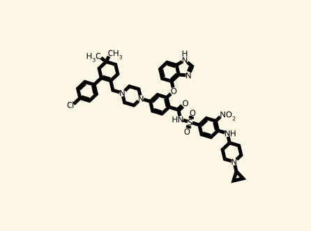 CC1(C)CCC(CN2CCN(c3ccc(C(=O)NS(=O)(=O)c4ccc(NC5CCN(C6CC6)CC5)c([N+](=O)[O-])c4)c(Oc4cccc5[nH]cnc45)c3)CC2)=C(c2ccc(Cl)cc2)C1